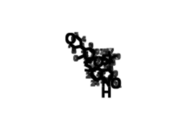 Cc1c(C2CCOCC2)ccc(O[Si](C)(C)C(C)(C)C)c1Sc1ccc2c(c1)CCC(=O)N2